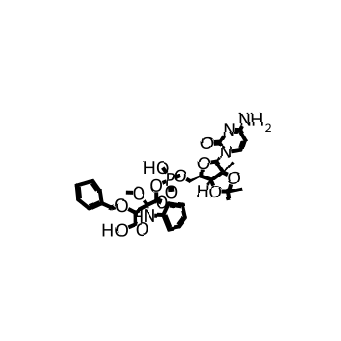 CO[C@@](Nc1ccccc1)(C(=O)OP(=O)(O)OC[C@H]1O[C@@H](n2ccc(N)nc2=O)[C@]2(C)OC(C)(C)O[C@H]12)C(OCc1ccccc1)C(=O)O